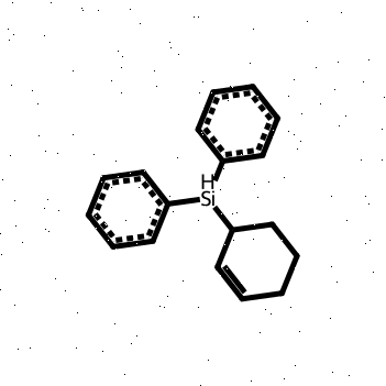 C1=CC([SiH](c2ccccc2)c2ccccc2)CCC1